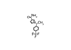 CC(c1ccc(C(F)(F)F)cc1)n1ccc(C(N)=O)c1